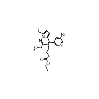 CCOC(=O)CCCc1c(COC)nn2c(CC)ccc2c1-c1cncc(Br)c1